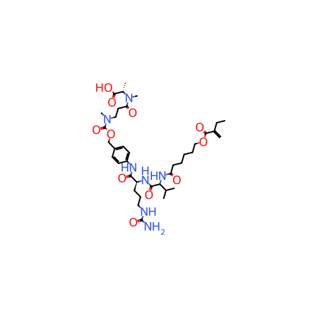 C=C(CC)C(=O)OCCCCCC(=O)N[C@H](C(=O)N[C@@H](CCCNC(N)=O)C(=O)Nc1ccc(COC(=O)N(C)CCC(=O)N(C)[C@@H](C)C(=O)O)cc1)C(C)C